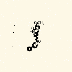 CC(=O)N1CCN2Cc3cc(/C=C/C(=O)N4CCC=C(c5ccccc5)CC4)cnc3NC(=O)C2C1